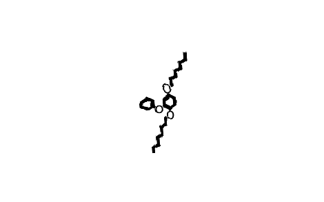 CCCCCCCCOc1ccc(OCCCCCCCC)c(Oc2ccccc2)c1